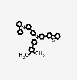 C=Cc1ccc(-c2ccc(N(c3ccc(-c4cccc(-n5c6ccccc6c6ccccc65)c4)cc3)c3ccc(-c4ccc5c(c4)sc4ccccc45)cc3)cc2)cc1C=C